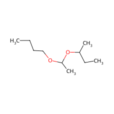 CCCCOC(C)OC(C)CC